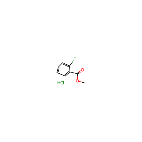 COC(=O)c1ccccc1F.Cl